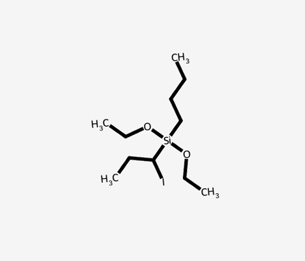 CCCC[Si](OCC)(OCC)C(I)CC